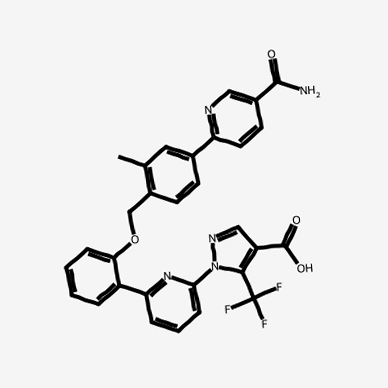 Cc1cc(-c2ccc(C(N)=O)cn2)ccc1COc1ccccc1-c1cccc(-n2ncc(C(=O)O)c2C(F)(F)F)n1